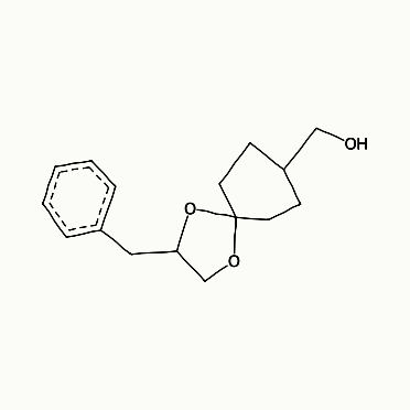 OCC1CCC2(CC1)OCC(Cc1ccccc1)O2